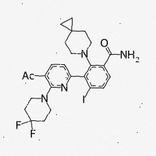 CC(=O)c1ccc(-c2c(I)ccc(C(N)=O)c2N2CCC3(CC2)CC3)nc1N1CCC(F)(F)CC1